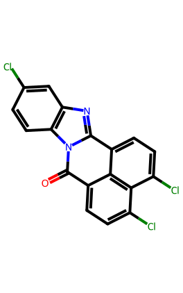 O=c1c2ccc(Cl)c3c(Cl)ccc(c32)c2nc3cc(Cl)ccc3n12